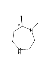 C[C@@H]1CCNCCN1C